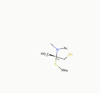 CSS[C@](CS)(C(=O)O)N(C)C(C)=O